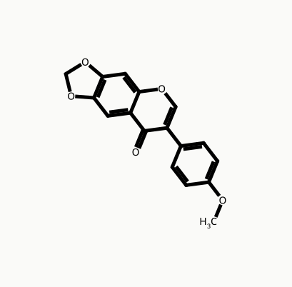 COc1ccc(-c2coc3cc4c(cc3c2=O)OCO4)cc1